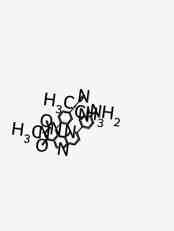 Cn1c(=O)c2cnc3ccc(-c4ccc(N)nc4)nc3c2n(-c2ccc(C(C)(C)C#N)cc2)c1=O